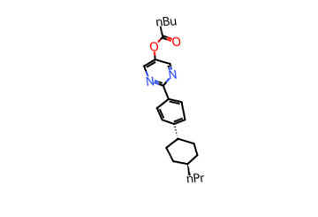 CCCCC(=O)Oc1cnc(-c2ccc([C@H]3CC[C@H](CCC)CC3)cc2)nc1